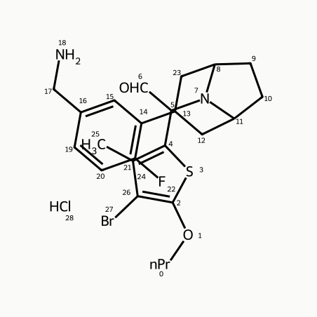 CCCOc1sc(C(C=O)N2C3CCC2CC(c2cc(CN)ccc2F)C3)c(C)c1Br.Cl